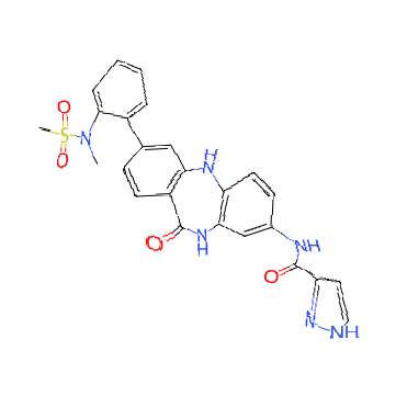 CN(c1ccccc1-c1ccc2c(c1)Nc1ccc(NC(=O)c3cc[nH]n3)cc1NC2=O)S(C)(=O)=O